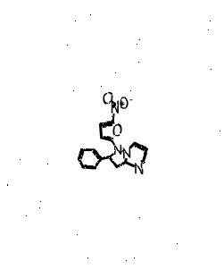 O=[N+]([O-])c1ccc(N2C(c3ccccc3)CC3N=CC=CN32)o1